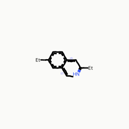 C/C=c1/cc(CC)cc/c1=C/C(=N)CC